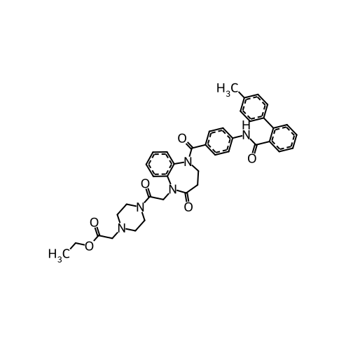 CCOC(=O)CN1CCN(C(=O)CN2C(=O)CCN(C(=O)c3ccc(NC(=O)c4ccccc4-c4ccc(C)cc4)cc3)c3ccccc32)CC1